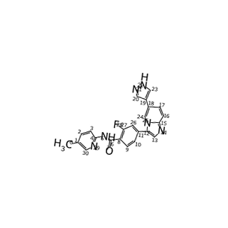 Cc1ccc(NC(=O)c2ccc(-c3cnc4ccc(-c5cn[nH]c5)cn34)cc2F)nc1